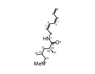 C=C/C=C\C=C/CNC(=O)[C@@H](C)CC(C)CNC